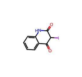 O=C1Nc2ccccc2C(=O)C1I